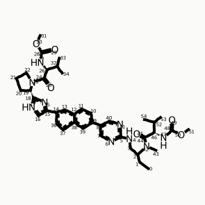 CCC(CNc1ncc(-c2ccc3cc(-c4c[nH]c([C@@H]5CCCN5C(=O)[C@@H](NC(=O)OC)C(C)C)n4)ccc3c2)cn1)N(C)C(=O)[C@@H](NC(=O)OC)C(C)C